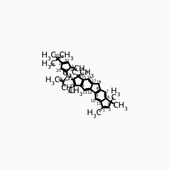 CC1=CC(C)(C)c2cc3c(cc21)-c1cc2c(cc1C3)C(C)(C)[C]([Zr]([C]1=CC(C(C)(C)C)=CC1C)=[C](C)C)=C2C